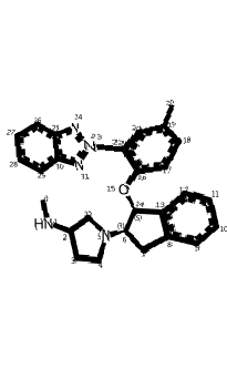 CNC1CCN([C@@H]2Cc3ccccc3[C@@H]2Oc2ccc(C)cc2-n2nc3ccccc3n2)C1